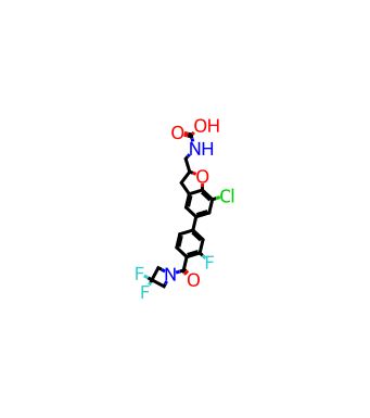 O=C(O)NCC1Cc2cc(-c3ccc(C(=O)N4CC(F)(F)C4)c(F)c3)cc(Cl)c2O1